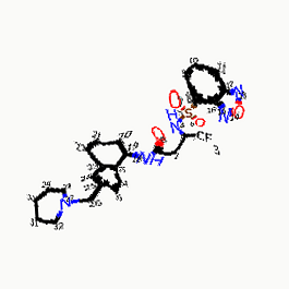 O=C(CC(NS(=O)(=O)c1cccc2nonc12)C(F)(F)F)NC1CCCc2cc(CN3CCCCC3)ccc21